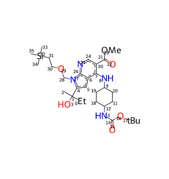 CCC(C)(O)c1cc2c(NC3CCC(NC(=O)OC(C)(C)C)CC3)c(C(=O)OC)cnc2n1COCC[Si](C)(C)C